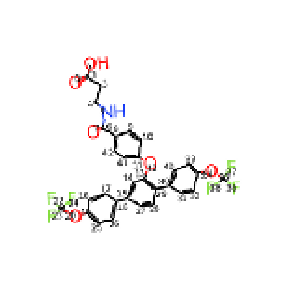 O=C(O)CCNC(=O)c1ccc(Oc2cc(-c3ccc(OC(F)(F)F)cc3)ccc2-c2ccc(OC(F)(F)F)cc2)cc1